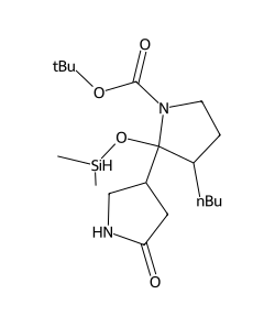 CCCCC1CCN(C(=O)OC(C)(C)C)C1(O[SiH](C)C)C1CNC(=O)C1